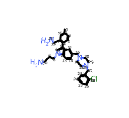 Cc1ccc(-c2cn(CCCN)c3ccc(CN4CCN(Cc5ccccc5Cl)CC4)cc23)c(CN)c1